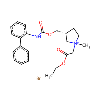 CCOC(=O)C[N+]1(C)CC[C@@H](COC(=O)Nc2ccccc2-c2ccccc2)C1.[Br-]